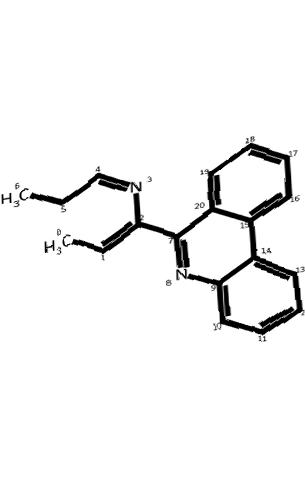 C/C=C(\N=C/CC)c1nc2ccccc2c2ccccc12